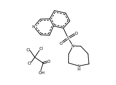 O=C(O)C(Cl)(Cl)Cl.O=S(=O)(c1cccc2cnccc12)N1CCCNCC1